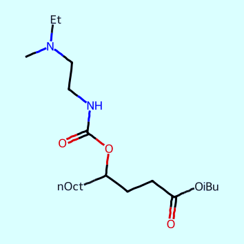 [CH2]C([CH2])COC(=O)CCC(CCCCCCCC)OC(=O)NCCN(C)CC